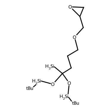 CC(C)(C)[SiH2]OC([SiH3])(CCCOCC1CO1)O[SiH2]C(C)(C)C